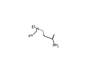 BC(C)CCN(CC)C(C)C